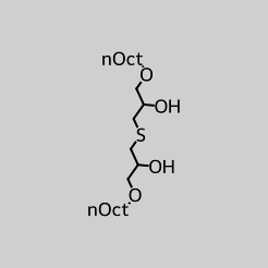 CCCCCCCCOCC(O)CSCC(O)COCCCCCCCC